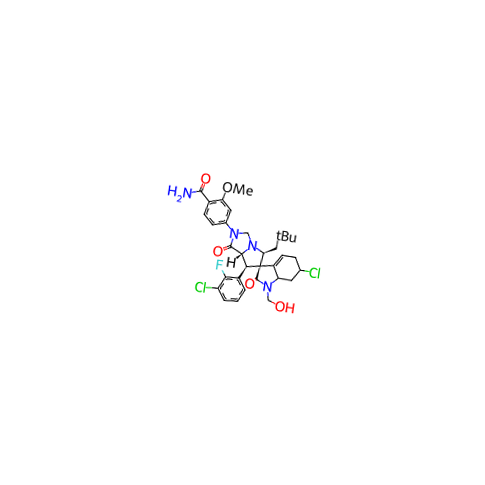 COc1cc(N2CN3[C@@H](CC(C)(C)C)[C@@]4(C(=O)N(CO)C5CC(Cl)CC=C54)[C@@H](c4cccc(Cl)c4F)[C@@H]3C2=O)ccc1C(N)=O